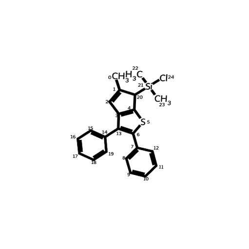 CC1=Cc2c(sc(-c3ccccc3)c2-c2ccccc2)C1[Si](C)(C)Cl